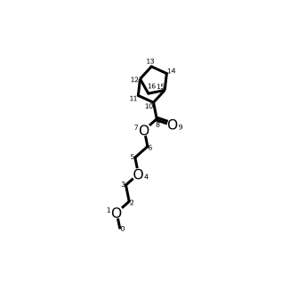 COCCOCCOC(=O)C1CC2CCC1C2